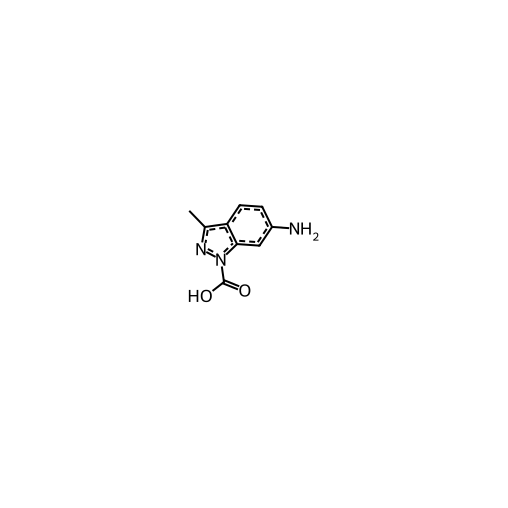 Cc1nn(C(=O)O)c2cc(N)ccc12